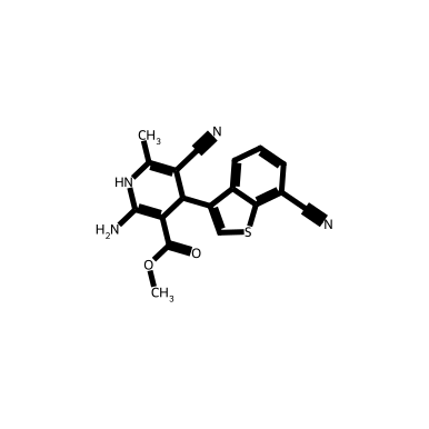 COC(=O)C1=C(N)NC(C)=C(C#N)C1c1csc2c(C#N)cccc12